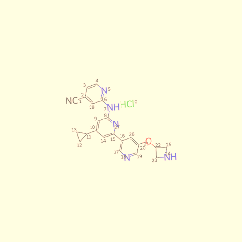 Cl.N#Cc1ccnc(Nc2cc(C3CC3)cc(-c3cncc(OC4CNC4)c3)n2)c1